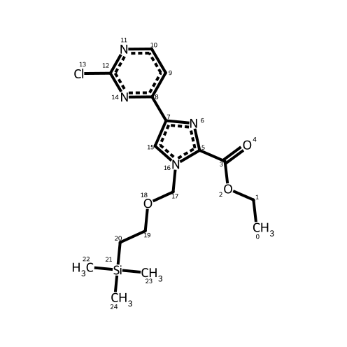 CCOC(=O)c1nc(-c2ccnc(Cl)n2)cn1COCC[Si](C)(C)C